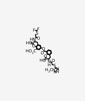 Cn1nnnc1SCC(=O)N[C@H]1Cc2cccc(C(=O)Oc3cc4c(c(C(=O)O)c3)OB(O)[C@@H](NC(=O)CSC(F)F)C4)c2OB1O